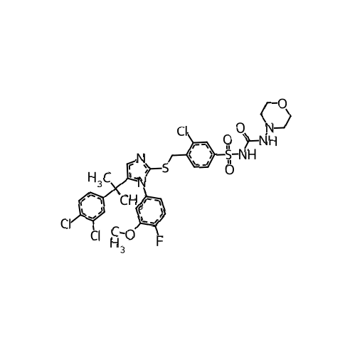 COc1cc(-n2c(C(C)(C)c3ccc(Cl)c(Cl)c3)cnc2SCc2ccc(S(=O)(=O)NC(=O)NN3CCOCC3)cc2Cl)ccc1F